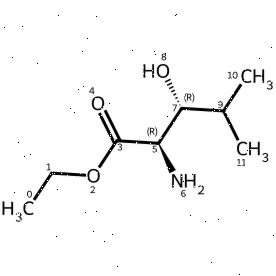 CCOC(=O)[C@H](N)[C@H](O)C(C)C